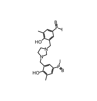 B#P(I)c1cc(C)c(O)c(CN2CCN(Cc3cc(P(#B)I)cc(C)c3O)C2)c1